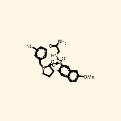 COc1ccc2cc([C@@H]3CCN(Cc4cccc(C#N)c4)C3=O)c(S(=O)(=O)NCC(N)=O)cc2c1